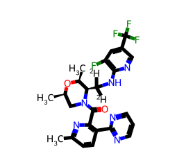 [2H]C([2H])(Nc1ncc(C(F)(F)F)cc1F)[C@@H]1[C@H](C)O[C@H](C)CN1C(=O)c1nc(C)ccc1-c1ncccn1